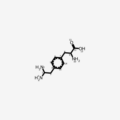 NC(N)Cc1ccc(CC(N)C(=O)O)cc1